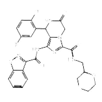 O=C1Cn2c(C(=O)NCC3COCCO3)nc(NC(=O)c3nsc4ccccc34)c2C(c2cc(F)ccc2Cl)N1